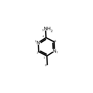 Cc1cnc(N)[c]n1